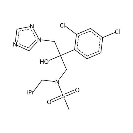 CC(C)CN(CC(O)(Cn1cncn1)c1ccc(Cl)cc1Cl)S(C)(=O)=O